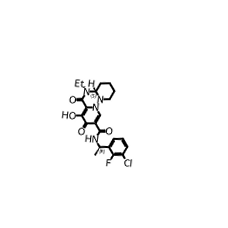 CCN1C(=O)c2c(O)c(=O)c(C(=O)N[C@H](C)c3cccc(Cl)c3F)cn2N2CCCC[C@@H]12